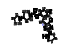 O=C1N=C(N2CCCCN2)S/C1=C/c1cc(F)ccc1OC(=O)N1CCC(N2CCCC2)CC1